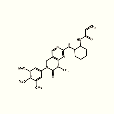 C=CC(=O)NC1CCCCC1Nc1ncc2c(n1)N(C)C(=O)N(c1cc(OC)c(OC)c(OC)c1)C2